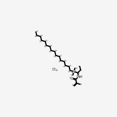 C=C(C)C(=O)NC(CC)[N+](C)(C)CCCCCCCCCCCCCCCC.[Cl-]